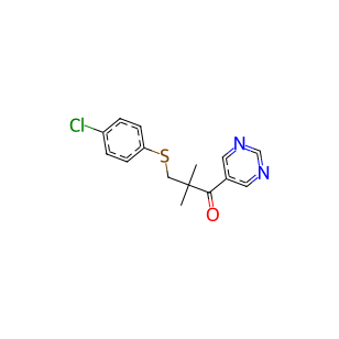 CC(C)(CSc1ccc(Cl)cc1)C(=O)c1cncnc1